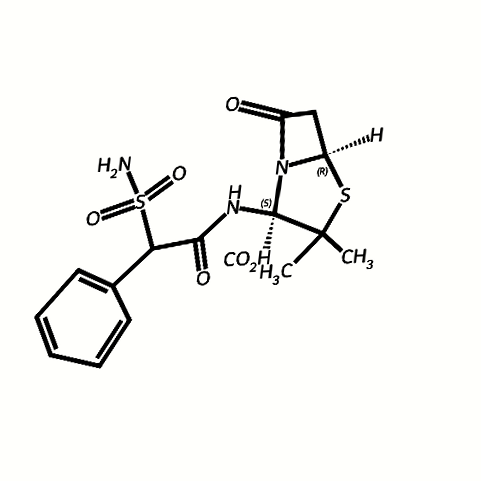 CC1(C)S[C@@H]2CC(=O)N2[C@@]1(NC(=O)C(c1ccccc1)S(N)(=O)=O)C(=O)O